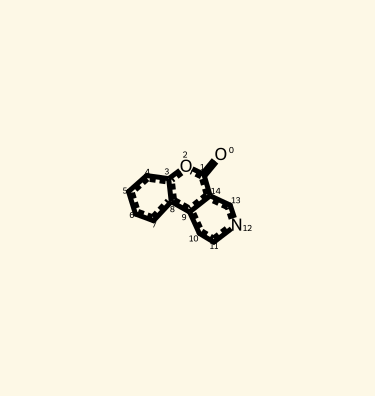 O=c1oc2ccccc2c2ccncc12